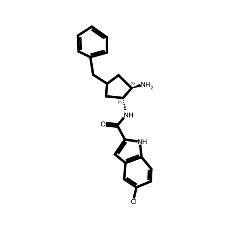 N[C@@H]1CC(Cc2ccccc2)C[C@H]1NC(=O)c1cc2cc(Cl)ccc2[nH]1